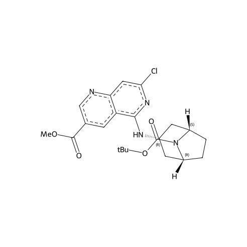 COC(=O)c1cnc2cc(Cl)nc(N[C@H]3C[C@H]4CC[C@@H](C3)N4C(=O)OC(C)(C)C)c2c1